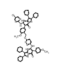 COc1ccc(-c2c(Nc3ccc(OCc4cc(-c5c(Nc6ncc(Cl)cn6)[nH]c6c(-c7ccccc7)c(-c7ccccc7)nn6c5=O)ccc4OC)nn3)[nH]c3c(-c4ccccc4)c(-c4ccccc4)nn3c2=O)cc1